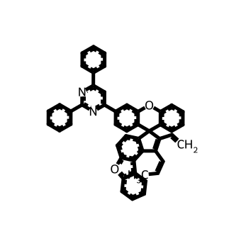 C=CC1=C(/C=C\C)c2c(ccc3oc4ccccc4c23)C12c1ccccc1Oc1cc(-c3cc(-c4ccccc4)nc(-c4ccccc4)n3)ccc12